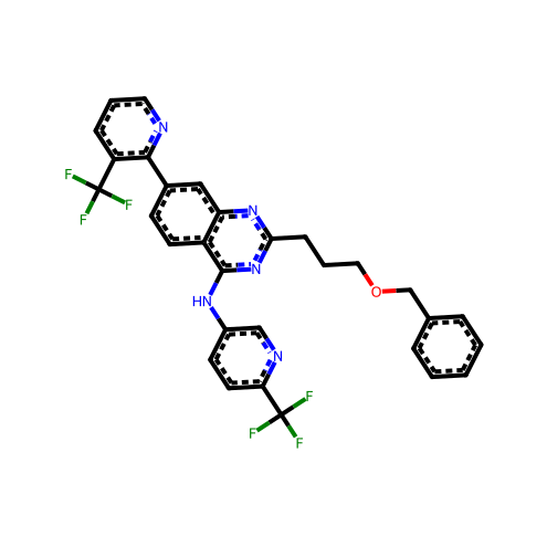 FC(F)(F)c1ccc(Nc2nc(CCCOCc3ccccc3)nc3cc(-c4ncccc4C(F)(F)F)ccc23)cn1